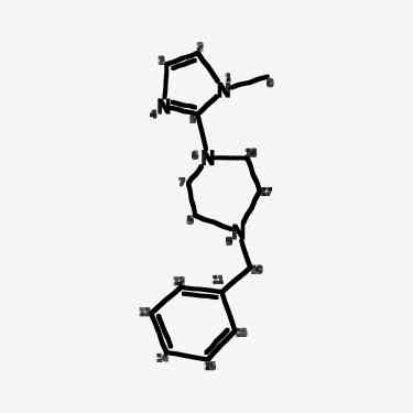 Cn1ccnc1N1CCN(Cc2ccccc2)CC1